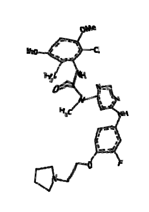 COc1cc(OC)c(Cl)c(NC(=O)N(C)c2cc(Nc3ccc(OCCN4CCCC4)c(F)c3)ncn2)c1C